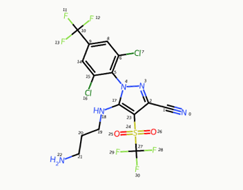 N#Cc1nn(-c2c(Cl)cc(C(F)(F)F)cc2Cl)c(NCCCN)c1S(=O)(=O)C(F)(F)F